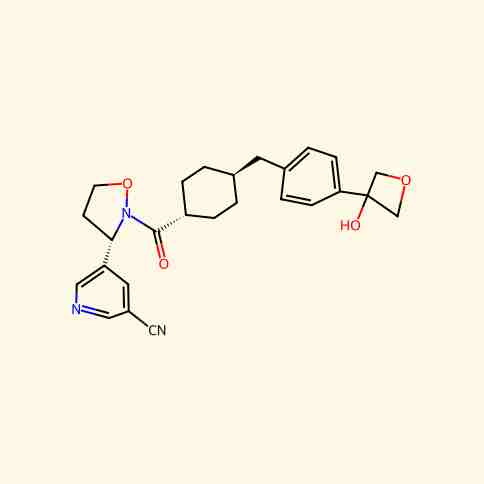 N#Cc1cncc([C@@H]2CCON2C(=O)[C@H]2CC[C@H](Cc3ccc(C4(O)COC4)cc3)CC2)c1